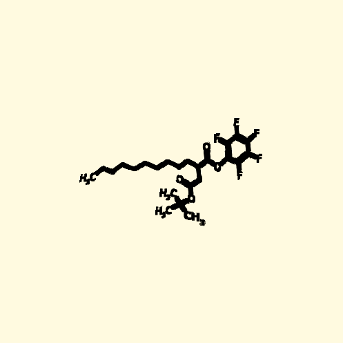 CCCCCCCCCCC(CC(=O)OC(C)(C)C)C(=O)Oc1c(F)c(F)c(F)c(F)c1F